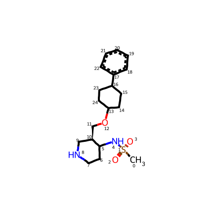 CS(=O)(=O)NC1CCNC[C@H]1COC1CCC(c2ccccc2)CC1